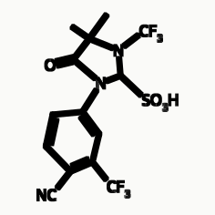 CC1(C)C(=O)N(c2ccc(C#N)c(C(F)(F)F)c2)C(S(=O)(=O)O)N1C(F)(F)F